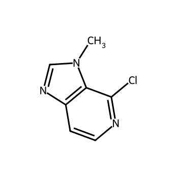 Cn1cnc2ccnc(Cl)c21